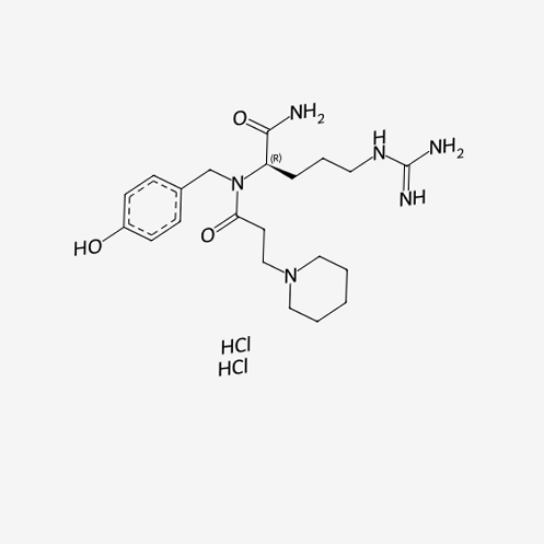 Cl.Cl.N=C(N)NCCC[C@H](C(N)=O)N(Cc1ccc(O)cc1)C(=O)CCN1CCCCC1